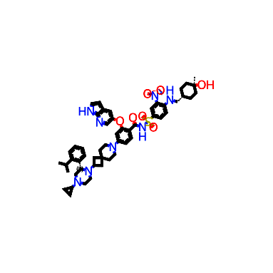 CC(C)c1ccccc1[C@H]1CN(C2CC2)CCN1C1CC2(CCN(c3ccc(C(=O)NS(=O)(=O)c4ccc(NC[C@H]5CC[C@](C)(O)CC5)c([N+](=O)[O-])c4)c(Oc4cnc5[nH]ccc5c4)c3)CC2)C1